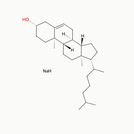 CC(C)CCCC(C)[C@H]1CC[C@H]2[C@@H]3CC=C4C[C@@H](O)CC[C@]4(C)[C@H]3CC[C@]12C.[NaH]